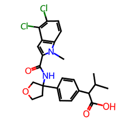 CC(C)C(C(=O)O)c1ccc(C2(NC(=O)c3cc4c(Cl)c(Cl)ccc4n3C)CCOC2)cc1